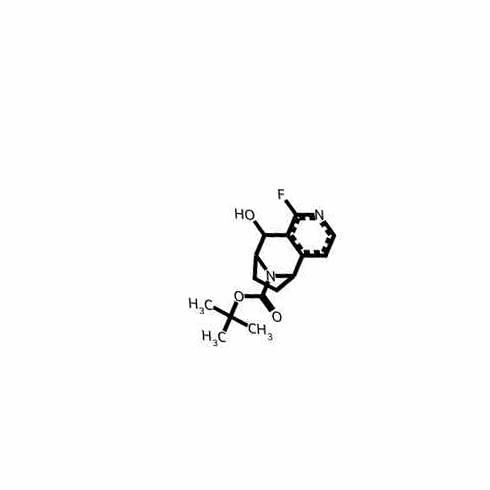 CC(C)(C)OC(=O)N1C2CCC1C(O)c1c2ccnc1F